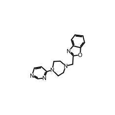 c1ccc2oc(CN3CCN(c4ccncn4)CC3)nc2c1